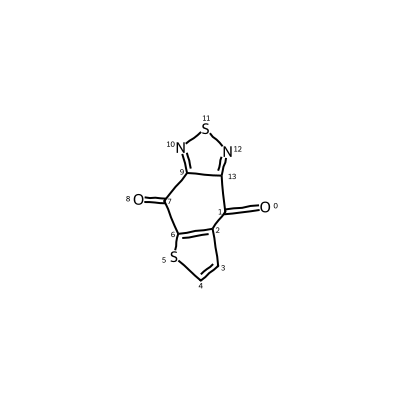 O=C1c2ccsc2C(=O)c2nsnc21